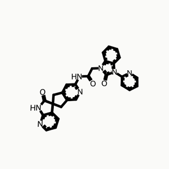 O=C(Cn1c(=O)n(-c2ccccn2)c2ccccc21)Nc1cc2c(cn1)CC1(C2)C(=O)Nc2ncccc21